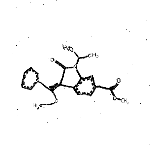 COC(=O)c1ccc2c(c1)N(C(C)O)C(=O)/C2=C(/OC)c1ccccc1